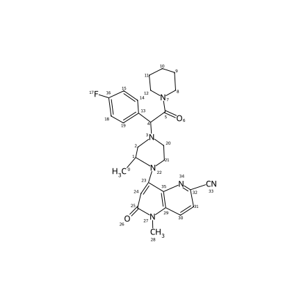 CC1CN(C(C(=O)N2CCCCC2)c2ccc(F)cc2)CCN1c1cc(=O)n(C)c2ccc(C#N)nc12